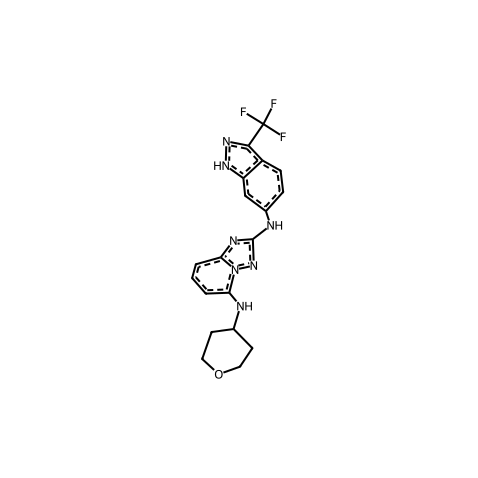 FC(F)(F)c1n[nH]c2cc(Nc3nc4cccc(NC5CCOCC5)n4n3)ccc12